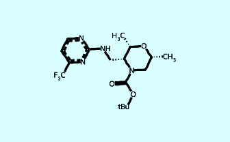 C[C@@H]1CN(C(=O)OC(C)(C)C)[C@H](CNc2nccc(C(F)(F)F)n2)[C@H](C)O1